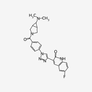 CN(C)C1C2CN(C(=O)c3ccc(-n4cc(-c5cc6cc(F)ccc6[nH]c5=O)nn4)cc3)CC21